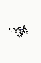 CCOC(=C=O)/C(=C1/CC[C@H](C(=O)OC)N1)[N+](=O)[O-]